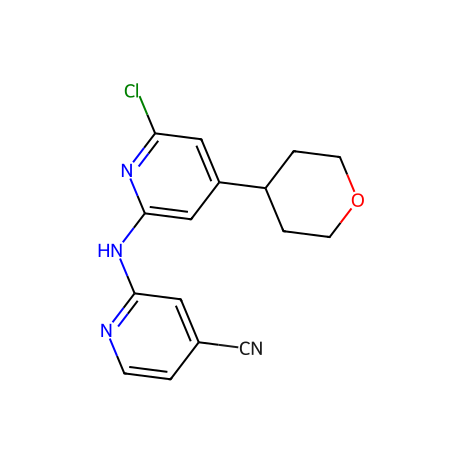 N#Cc1ccnc(Nc2cc(C3CCOCC3)cc(Cl)n2)c1